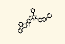 c1ccc(-c2ccc3ccc(C4=NC(c5ccccc5)NC(c5ccc6c(c5)sc5cc7c8c(cccc8c56)-c5ccccc5-7)=N4)cc3c2)cc1